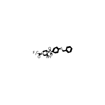 CCCC1CN(C(=O)C(F)(F)F)CCN1S(=O)(=O)c1ccc(SCc2ccccc2)cc1